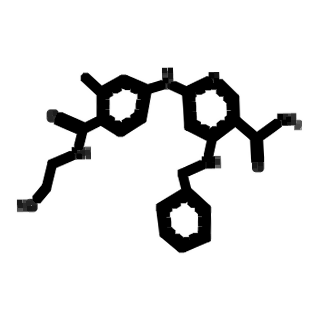 Cc1cc(Nc2cc(NCc3ccccc3)c(C(N)=O)cn2)ccc1C(=O)NCCO